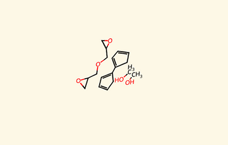 C(OCC1CO1)C1CO1.C1=CCC(C2=CC=CC2)=C1.CO.CO